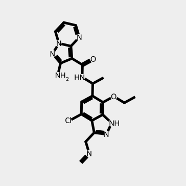 C=NCc1n[nH]c2c(OCC)c(C(C)NC(=O)c3c(N)nn4cccnc34)cc(Cl)c12